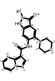 CC(C)n1[nH]c2cc(NC(=O)c3cnn4cccnc34)c(N3CCOCC3)cc2c1=O